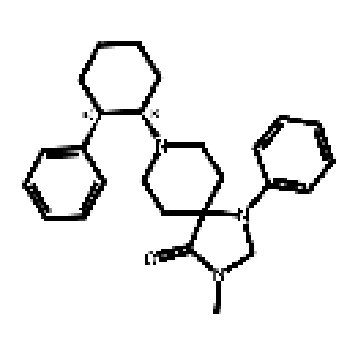 CN1CN(c2ccccc2)C2(CCN([C@@H]3CCCC[C@@H]3c3ccccc3)CC2)C1=O